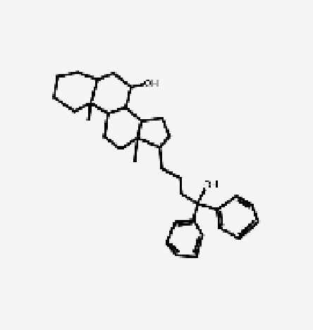 CC12CCC3C(C(O)CC4CCCCC43C)C1CCC2CCCC(O)(c1ccccc1)c1ccccc1